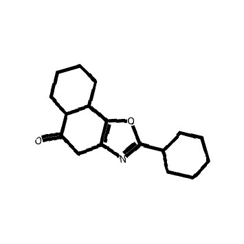 O=C1Cc2nc(C3CCCCC3)oc2C2CCCCC12